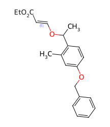 CCOC(=O)/C=C/OC(C)c1ccc(OCc2ccccc2)cc1C